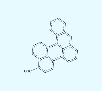 O=Cc1ccc2c3cccc4cc5ccccc5c(c5cccc1c25)c43